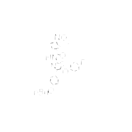 CCCCOc1ccc(-c2nc(NC(=O)c3ccc([N+](=O)[O-])s3)sc2Oc2ccc(F)cc2)cc1